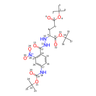 CC(C)(C)OC(=O)CCC(NNC(=O)c1ccc(NC(=O)OC(C)(C)C)cc1[N+](=O)[O-])C(=O)OC(C)(C)C